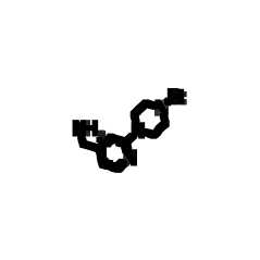 CCN1CCN(c2cc(CN)ccn2)CC1